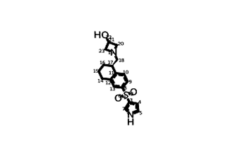 O=S(=O)(c1cc[nH]c1)c1ccc2c(c1)CCC[C@H]2CN1CC(O)C1